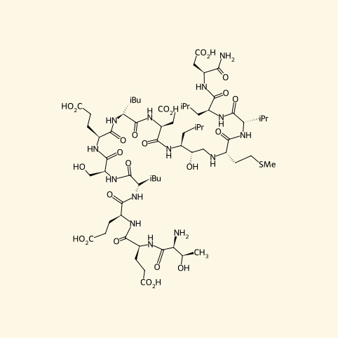 CC[C@H](C)[C@H](NC(=O)[C@H](CCC(=O)O)NC(=O)[C@H](CCC(=O)O)NC(=O)[C@@H](N)[C@@H](C)O)C(=O)N[C@@H](CO)C(=O)N[C@@H](CCC(=O)O)C(=O)N[C@H](C(=O)N[C@@H](CC(=O)O)C(=O)N[C@@H](CC(C)C)[C@@H](O)CN[C@@H](CCSC)C(=O)N[C@H](C(=O)N[C@@H](CC(C)C)C(=O)N[C@@H](CC(=O)O)C(N)=O)C(C)C)[C@@H](C)CC